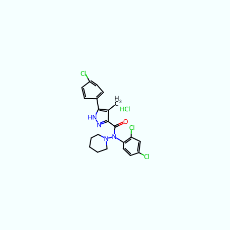 Cc1c(C(=O)N(c2ccc(Cl)cc2Cl)N2CCCCC2)n[nH]c1-c1ccc(Cl)cc1.Cl